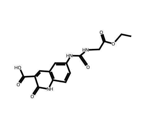 CCOC(=O)CNC(=O)Nc1ccc2[nH]c(=O)c(C(=O)O)cc2c1